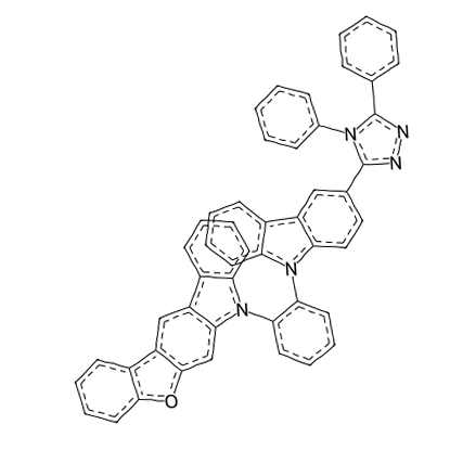 c1ccc(-c2nnc(-c3ccc4c(c3)c3ccccc3n4-c3ccccc3-n3c4ccccc4c4cc5c(cc43)oc3ccccc35)n2-c2ccccc2)cc1